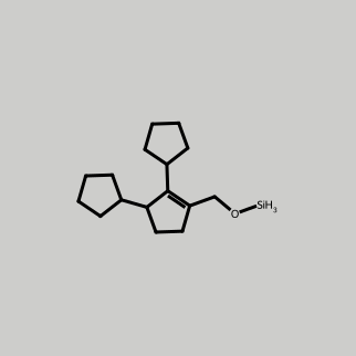 [SiH3]OCC1=C(C2CCCC2)C(C2CCCC2)CC1